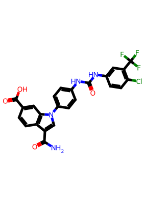 NC(=O)c1cn(-c2ccc(NC(=O)Nc3ccc(Cl)c(C(F)(F)F)c3)cc2)c2cc(C(=O)O)ccc12